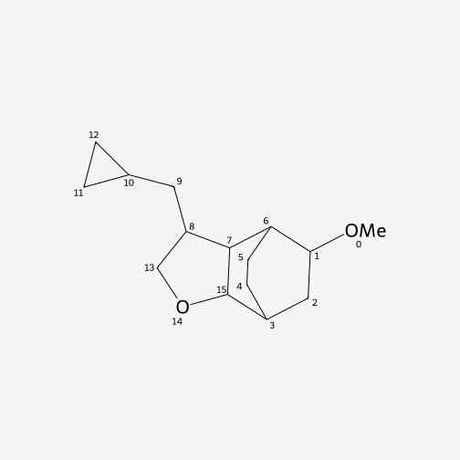 COC1CC2CCC1C1C(CC3CC3)COC21